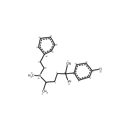 CC(CCC(C#N)(c1ccc(Cl)cc1)C(C)C)N(C)CCc1ccccc1